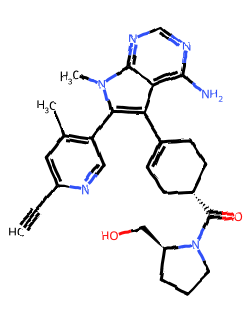 C#Cc1cc(C)c(-c2c(C3=CC[C@@H](C(=O)N4CCC[C@H]4CO)CC3)c3c(N)ncnc3n2C)cn1